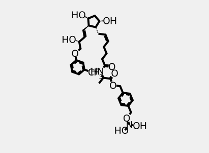 CC(NC(=O)CCC/C=C\C[C@@H]1[C@@H](/C=C/[C@@H](O)COc2cccc(C(F)(F)F)c2)[C@H](O)C[C@@H]1O)C(=O)OCc1ccc(CON(O)O)cc1